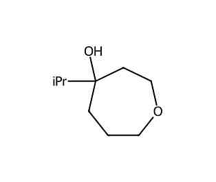 CC(C)C1(O)CCCOCC1